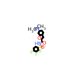 CN(C)c1ccc2cc(C(=O)N[S+]([O-])c3ccc(F)c(F)c3F)oc2c1